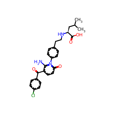 CC(C)C[C@H](NCCc1ccc(-n2c(N)c(C(=O)c3ccc(Cl)cc3)ccc2=O)cc1)C(=O)O